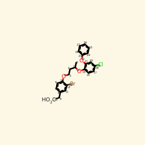 CC(CCOc1ccc(CC(=O)O)cc1Br)Oc1ccc(Cl)cc1Oc1ccccc1